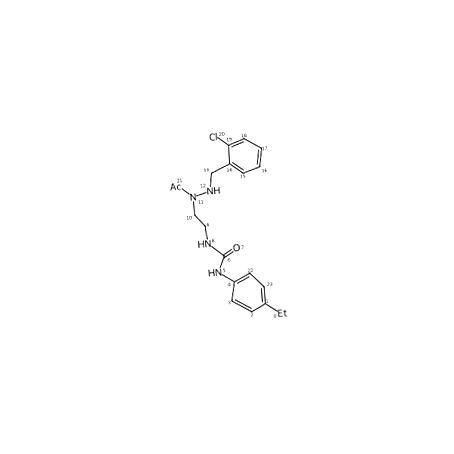 CCc1ccc(NC(=O)NCCN(NCc2ccccc2Cl)C(C)=O)cc1